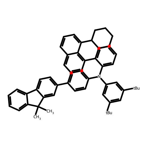 CC(C)(C)c1cc(N(c2ccc(-c3ccc4c(c3)C(C)(C)c3ccccc3-4)cc2)c2ccccc2-c2cccc3cccc(C4CCCCC4)c23)cc(C(C)(C)C)c1